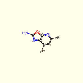 CC(C)c1cc(C(C)C)c2nc(N)oc2n1